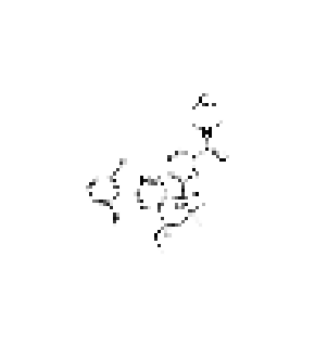 CC[C@@H]1CC(C)(C)[C@@](C)(c2cccc(C(=O)N3CCOCC3)n2)c2nnc(-c3c(F)cccc3F)cc21